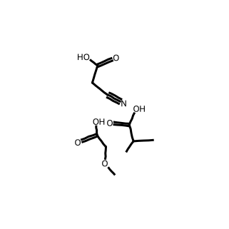 CC(C)C(=O)O.COCC(=O)O.N#CCC(=O)O